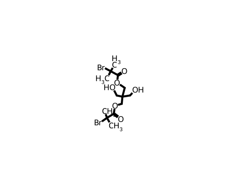 CC(C)(Br)C(=O)OCC(CO)(CO)COC(=O)C(C)(C)Br